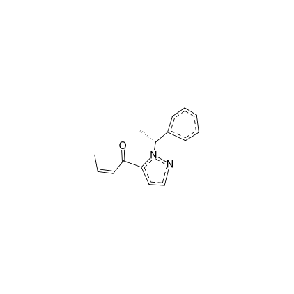 C/C=C\C(=O)c1ccnn1[C@H](C)c1ccccc1